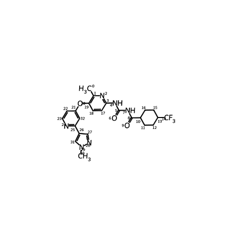 Cc1nc(NC(=O)NC(=O)C2CCC(C(F)(F)F)CC2)ccc1Oc1ccnc(-c2cnn(C)c2)c1